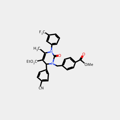 CCOC(=O)C1=C(C)N(c2cccc(C(F)(F)F)c2)C(=O)N(Cc2ccc(C(=O)OC)cc2)C1c1ccc(C#N)cc1